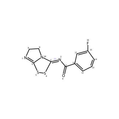 O=C(/N=C1\SSC2=NCCN21)c1cccc(F)c1